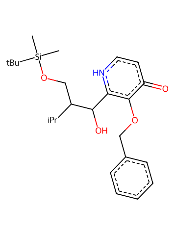 CC(C)C(CO[Si](C)(C)C(C)(C)C)C(O)c1[nH]ccc(=O)c1OCc1ccccc1